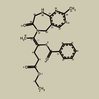 CCOC(=O)CC/C(SC(=O)c1ccccc1)=C(\C)N1Cc2cnc(C)nc2NCC1=O